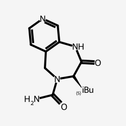 CC[C@H](C)C1C(=O)Nc2cnccc2CN1C(N)=O